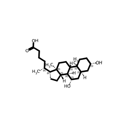 C[C@H](CCCC(=O)O)[C@H]1CC[C@H]2[C@@H]3[C@@H](O)C[C@@H]4C[C@@H](O)CC[C@]4(C)[C@H]3CC[C@]12C